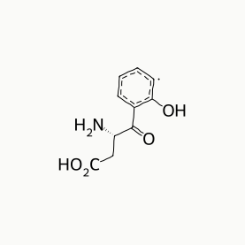 N[C@@H](CC(=O)O)C(=O)c1ccc[c]c1O